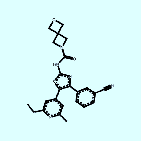 CCc1cc(-c2sc(NC(=O)N3CC4(COC4)C3)nc2-c2cccc(C#N)c2)cc(C)n1